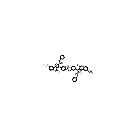 Cc1ccc2oc(=O)c3c(-c4ccc5c(c4)CN4CN5Cc5cc(-c6c(NCc7ccccc7)oc7c6c(=O)oc6ccc(C)cc67)ccc54)c(NCc4ccccc4)oc3c2c1